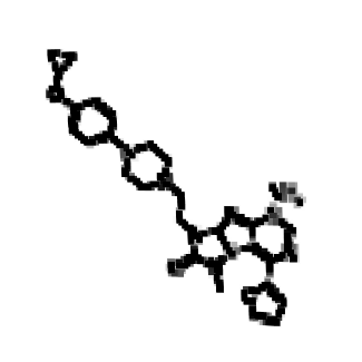 CN1C(=O)N(CCN2CCN(c3ccc(OC4CC4)cc3)CC2)C2N=C3C(=C(c4ccco4)N=CN3N)N21